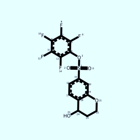 O=S(=O)(Oc1c(F)c(F)c(F)c(F)c1F)c1ccc2c(c1)OCCC2O